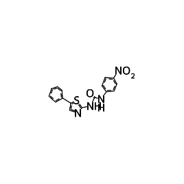 O=C(Nc1ccc([N+](=O)[O-])cc1)Nc1ncc(-c2ccccc2)s1